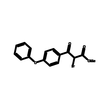 COC(=O)C(Br)C(=O)c1ccc(Oc2ccccc2)cc1